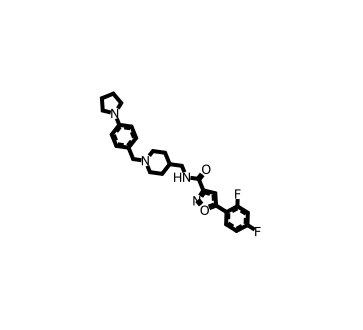 O=C(NCC1CCN(Cc2ccc(N3CCCC3)cc2)CC1)c1cc(-c2ccc(F)cc2F)on1